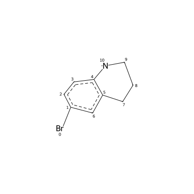 Brc1ccc2c(c1)CCC[N]2